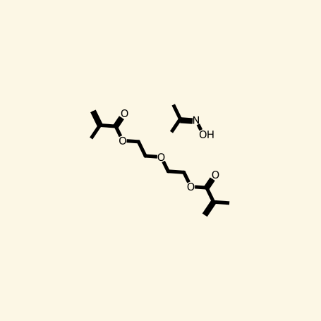 C=C(C)C(=O)OCCOCCOC(=O)C(=C)C.CC(C)=NO